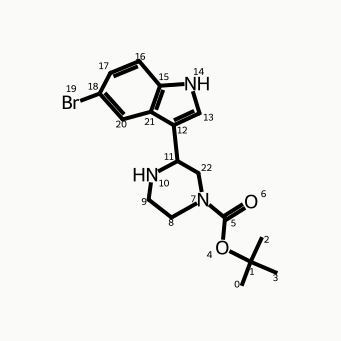 CC(C)(C)OC(=O)N1CCNC(c2c[nH]c3ccc(Br)cc23)C1